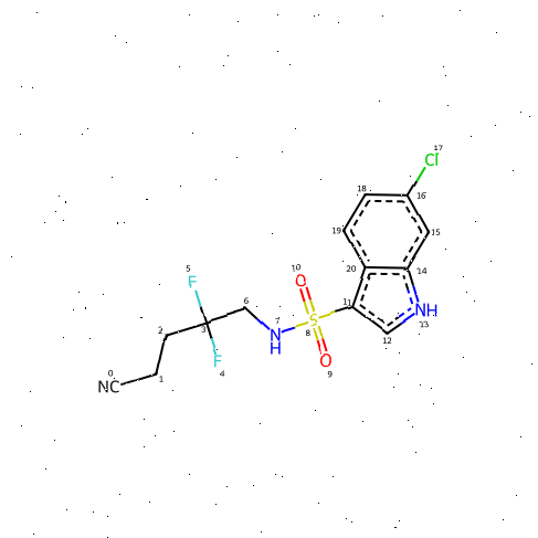 N#CCCC(F)(F)CNS(=O)(=O)c1c[nH]c2cc(Cl)ccc12